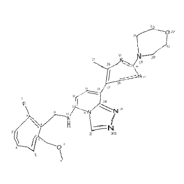 COc1cccc(F)c1CNc1ccc(-c2cnc(N3CCOCC3)nc2C)c2nncn12